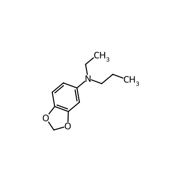 CCCN(CC)c1ccc2c(c1)OCO2